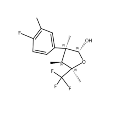 Cc1cc([C@@]2(C)[C@H](O)O[C@@](C)(C(F)(F)F)[C@H]2C)ccc1F